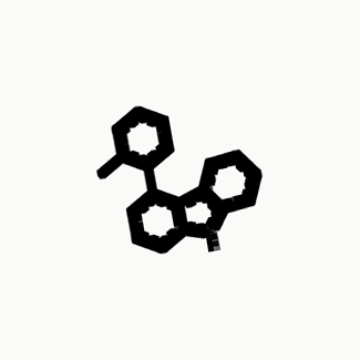 Cc1ccccc1-c1cccc2[nH]c3ccccc3c12